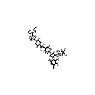 CCOC(=O)c1noc(N2CCC([C@H](C)Oc3cnc(N4C[C@H](NC(=O)OC(C)(C)C)[C@@H](c5cc(C)c(F)cc5F)C4)nc3)CC2)n1